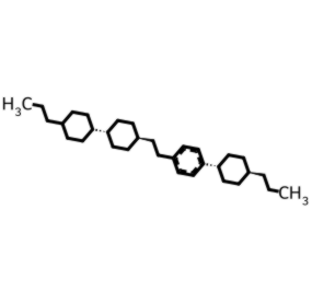 CCCC1CCC([C@H]2CC[C@H](CCc3ccc([C@H]4CC[C@H](CCC)CC4)cc3)CC2)CC1